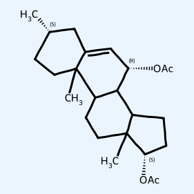 CC(=O)O[C@H]1C=C2C[C@@H](C)CCC2(C)C2CCC3(C)C(CC[C@@H]3OC(C)=O)C21